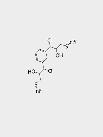 CCCSCC(O)C(Cl)c1cccc(C(Cl)C(O)CSCCC)c1